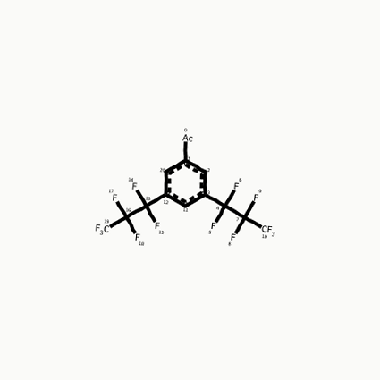 CC(=O)c1cc(C(F)(F)C(F)(F)C(F)(F)F)cc(C(F)(F)C(F)(F)C(F)(F)F)c1